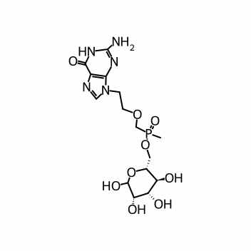 CP(=O)(COCCn1cnc2c(=O)[nH]c(N)nc21)OC[C@H]1OC(O)[C@@H](O)[C@@H](O)[C@@H]1O